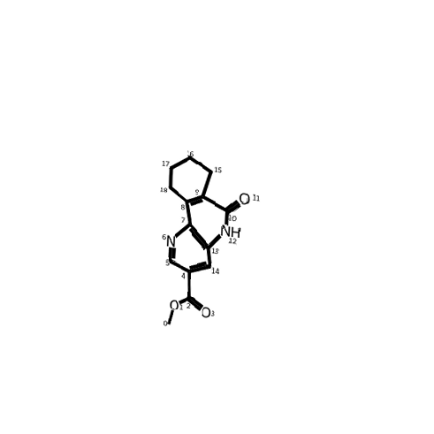 COC(=O)c1cnc2c3c(c(=O)[nH]c2c1)CCCC3